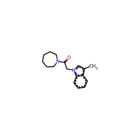 Cc1cn(CC(=O)N2CCCCCC2)c2ccccc12